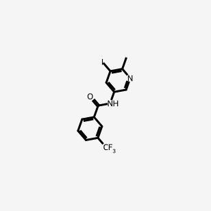 Cc1ncc(NC(=O)c2cccc(C(F)(F)F)c2)cc1I